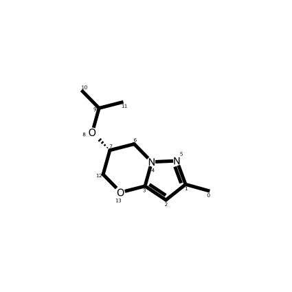 Cc1cc2n(n1)C[C@@H](OC(C)C)CO2